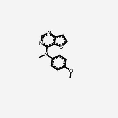 COc1ccc(N(C)c2ncnc3ccsc23)cc1